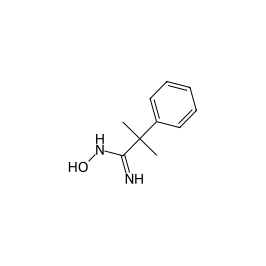 CC(C)(C(=N)NO)c1ccccc1